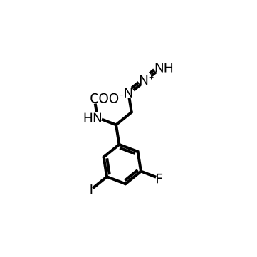 N=[N+]=NCC(NC(=O)[O-])c1cc(F)cc(I)c1